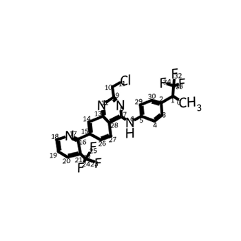 CC(c1ccc(Nc2nc(CCl)nc3cc(-c4ncccc4C(F)(F)F)ccc23)cc1)C(F)(F)F